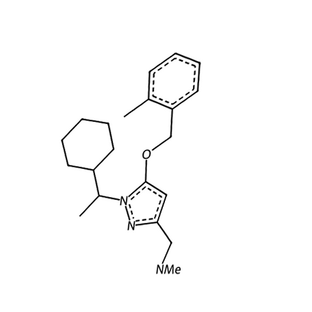 CNCc1cc(OCc2ccccc2C)n(C(C)C2CCCCC2)n1